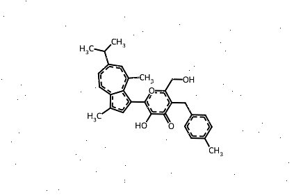 Cc1ccc(Cc2c(CO)oc(-c3cc(C)c4ccc(C(C)C)cc(C)c3-4)c(O)c2=O)cc1